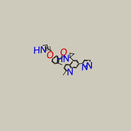 Cc1ccc2c(C3(NC(=O)c4cc(OC[C@@H]5CCN5)ccc4C)CC3)cc(-c3ccn(C)n3)cc2n1